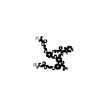 C=CC(=O)OCCCOc1ccc(COc2ccc(OC(CC(C)C)c3ccc(OCCCOC(=O)C=C)cc3)cc2/C=N/N(C(=O)CCC)c2nc3cnccc3s2)cc1